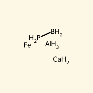 BP.[AlH3].[CaH2].[Fe]